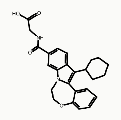 O=C(O)CNC(=O)c1ccc2c(C3CCCCC3)c3n(c2c1)CCOc1ccccc1-3